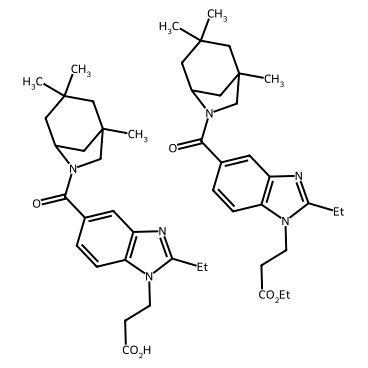 CCOC(=O)CCn1c(CC)nc2cc(C(=O)N3CC4(C)CC3CC(C)(C)C4)ccc21.CCc1nc2cc(C(=O)N3CC4(C)CC3CC(C)(C)C4)ccc2n1CCC(=O)O